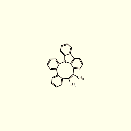 Cc1c(C)c2cccc3c4ccccc4n(c4ccccc4c4ccccc14)c23